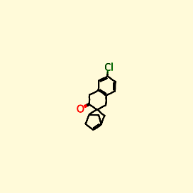 O=C1Cc2cc(Cl)ccc2CC12CC1=CCC2C1